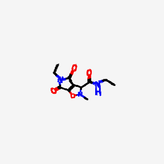 CCNC(=O)C1C2=C(ON1C)C(=O)N(CC)C2=O